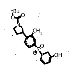 Cc1cc(S(=O)(=O)C2C=CC=C(O)C2)ccc1C1CCN(C(=O)OC(C)(C)C)C1